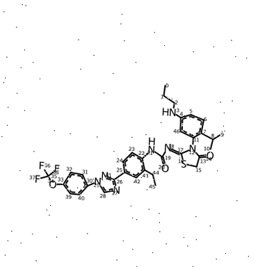 CCCNc1ccc(C(C)C)c(N2C(=O)CSC2=NC(=O)Nc2ccc(-c3ncn(-c4ccc(OC(F)(F)F)cc4)n3)cc2CC)c1